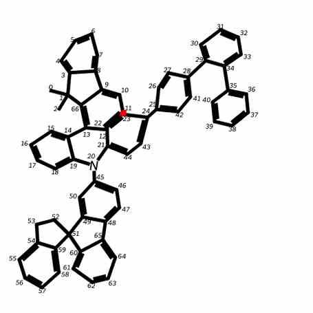 CC1(C)c2ccccc2-c2cccc(-c3ccccc3N(c3ccc(-c4ccc(-c5ccccc5-c5ccccc5)cc4)cc3)c3ccc4c(c3)C3(CCc5ccccc53)c3ccccc3-4)c21